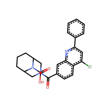 O=C(c1ccc2c(Cl)cc(-c3ccccc3)nc2c1)N1CC2CCCC(C1)N2C(=O)O